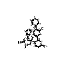 CCC(=O)N(C)CC(O)(Cn1ccnc1)c1ccc(F)cc1-c1ccc(-c2ccccc2)c(F)c1